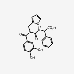 O=C(O)C(NC(=O)N(Cc1ccco1)C(=O)c1ccc(O)c(O)c1)c1ccccc1